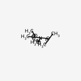 CCCCCCCCC(CCCCCCCC)OC(=O)CCCCCCCN(CCCCCCC(C(=O)OCCCCCC)C(=O)OCCCCCC)CCCNC(C)=O